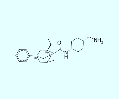 CC[C@]12CC3CC1(C(=O)N[C@H]1CC[C@@H](CN)CC1)C[C@@](c1ccccc1)(C3)C2